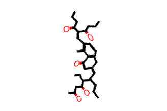 CCCC(=O)C(Cc1ccc2c(c1C)C(=O)CC(CC(CCC)C(CC)C(=O)CC(C)=O)C2)C(=O)CCC